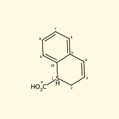 O=C(O)[SH]1CC=Cc2ccccc21